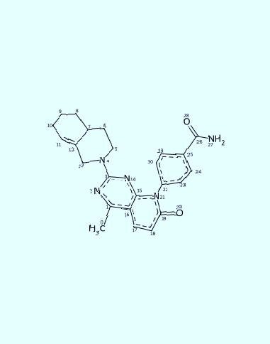 Cc1nc(N2CCC3CCCC=C3C2)nc2c1ccc(=O)n2-c1ccc(C(N)=O)cc1